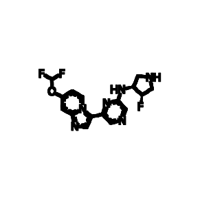 FC(F)Oc1ccn2c(-c3cncc(N[C@H]4CNC[C@@H]4F)n3)cnc2c1